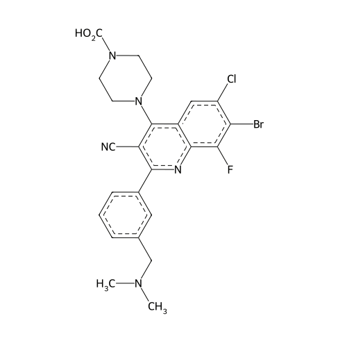 CN(C)Cc1cccc(-c2nc3c(F)c(Br)c(Cl)cc3c(N3CCN(C(=O)O)CC3)c2C#N)c1